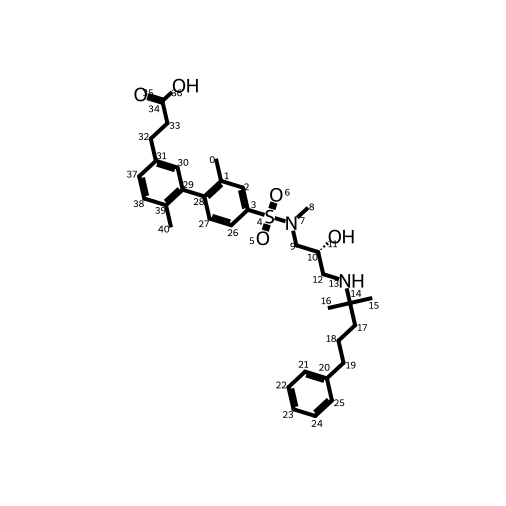 Cc1cc(S(=O)(=O)N(C)C[C@H](O)CNC(C)(C)CCCc2ccccc2)ccc1-c1cc(CCC(=O)O)ccc1C